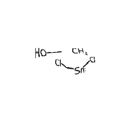 C.CO.[Cl][Sn][Cl]